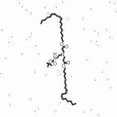 CCCCC/C=C\C/C=C\CCCCCCCCOC(=O)CCN(CCNC(=O)OC(C)(C)C)CCC(=O)OCCCCCCCC/C=C\C/C=C\CCCCC